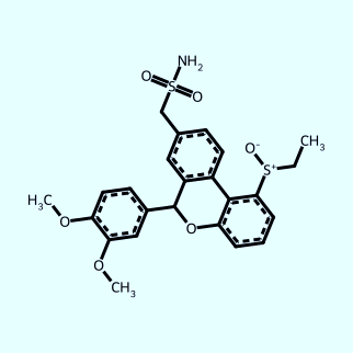 CC[S+]([O-])c1cccc2c1-c1ccc(CS(N)(=O)=O)cc1C(c1ccc(OC)c(OC)c1)O2